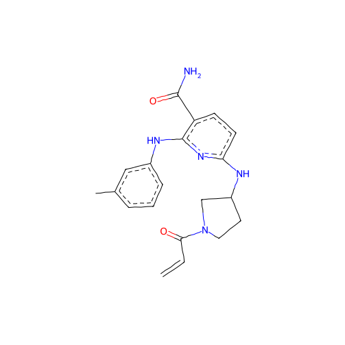 C=CC(=O)N1CCC(Nc2ccc(C(N)=O)c(Nc3cccc(C)c3)n2)C1